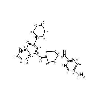 Nc1cnc(NC2CCC(Oc3cc(N4CCOCC4)cc4nccnc34)CC2)nc1